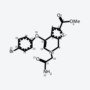 COC(=O)c1cc2c(s1)CN(CC(N)=O)C=C2Oc1ccc(Br)cc1